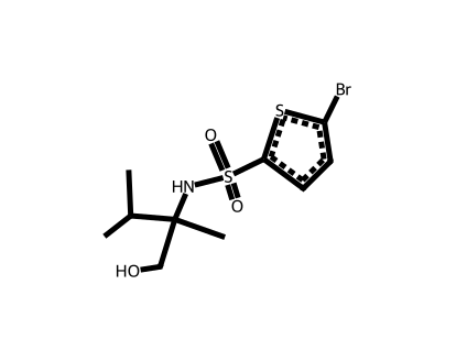 CC(C)C(C)(CO)NS(=O)(=O)c1ccc(Br)s1